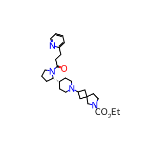 CCOC(=O)N1CCC2(CC(N3CCC([C@@H]4CCCN4C(=O)CCc4ccccn4)CC3)C2)C1